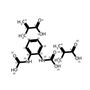 C=C(C)C(=O)O.C=C(C)C(=O)O.O=C(O)Nc1ccccc1NC(=O)O